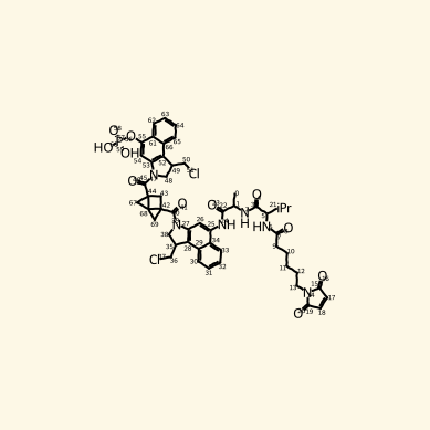 CC(NC(=O)C(NC(=O)CCCCCN1C(=O)C=CC1=O)C(C)C)C(=O)Nc1cc2c(c3ccccc13)C(CCl)CN2C(=O)C12CC3(C(=O)N4CC(CCl)c5c4cc(OP(=O)(O)O)c4ccccc54)CC13C2